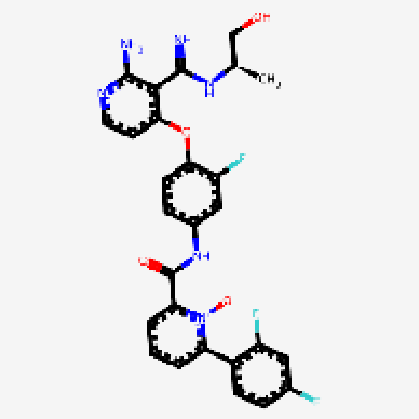 C[C@H](CO)NC(=N)c1c(Oc2ccc(NC(=O)c3cccc(-c4ccc(F)cc4F)[n+]3[O-])cc2F)ccnc1N